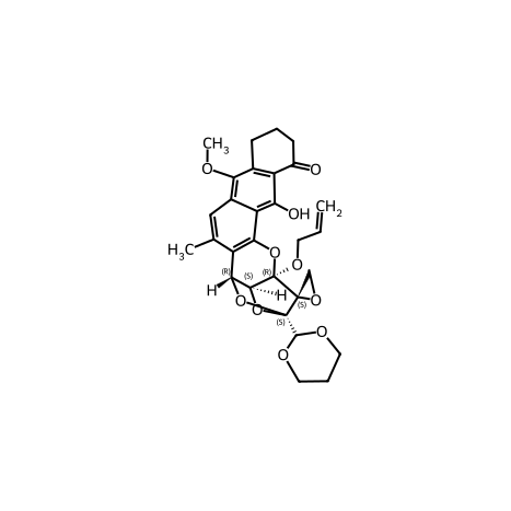 C=CCO[C@@]12Oc3c(c(C)cc4c(OC)c5c(c(O)c34)C(=O)CCC5)[C@H]3O[C@](C4OCCCO4)(O[C@@H]31)[C@]21CO1